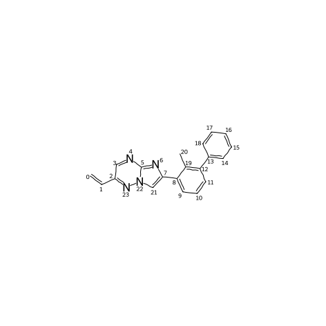 C=Cc1cnc2nc(-c3cccc(-c4ccccc4)c3C)cn2n1